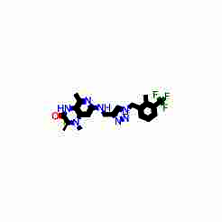 Cc1nc(NCc2cn(Cc3cccc(C(F)(F)F)c3C)nn2)cc2c1NC(=O)[C@H](C)N2C